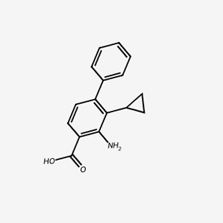 Nc1c(C(=O)O)ccc(-c2ccccc2)c1C1CC1